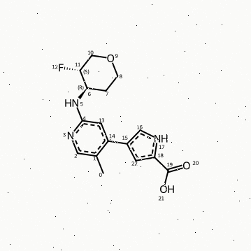 Cc1cnc(N[C@@H]2CCOC[C@H]2F)cc1-c1c[nH]c(C(=O)O)c1